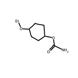 CCOC1CCC(OC(N)=O)CC1